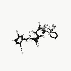 Cn1c(N2CCCCS2(O)O)nc(C(=O)NCc2cc(F)ccc2F)c(O)c1=O